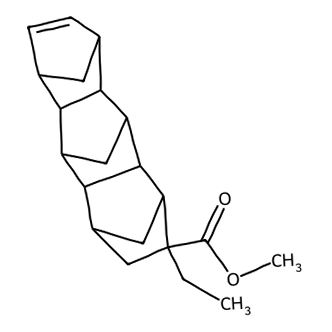 CCC1(C(=O)OC)CC2CC1C1C3CC(C4C5C=CC(C5)C34)C21